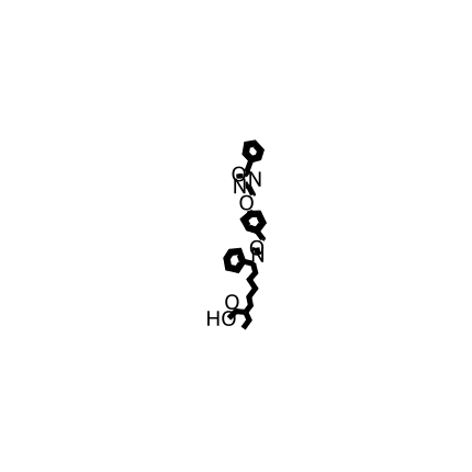 CCC(CCCCCC(=NOCc1ccc(OCc2noc(-c3ccccc3)n2)cc1)c1ccccc1)C(=O)O